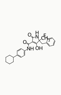 CC1(Cc2ccccc2F)NC(=O)C(C(=O)Nc2ccc(C3CCCCC3)cc2)=C1O